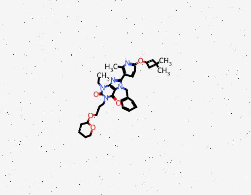 CCn1c(=O)n(CCCOC2CCCCO2)c(=O)c2c1nc(-c1ccc(OC3CC(C)(C)C3)nc1C)n2Cc1ccccc1